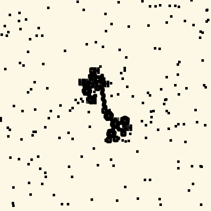 COc1ccc(-c2cc(-c3ccc(OCCCCCCCC(=O)N[C@H](C(=O)N4C[C@H](O)C[C@H]4C(=O)N[C@@H](C)c4ccc(-c5scnc5C)cc4)C(C)(C)C)cc3)nc3c2CC(=O)Nc2ccccc2-3)cc1OC